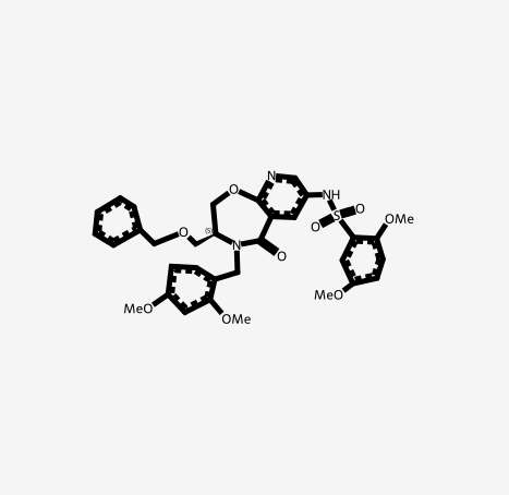 COc1ccc(CN2C(=O)c3cc(NS(=O)(=O)c4cc(OC)ccc4OC)cnc3OC[C@@H]2COCc2ccccc2)c(OC)c1